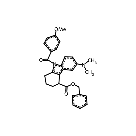 COc1ccc(C(=O)n2c3c(c4cc(N(C)C)ccc42)C(C(=O)OCc2ccccc2)CCC3)cc1